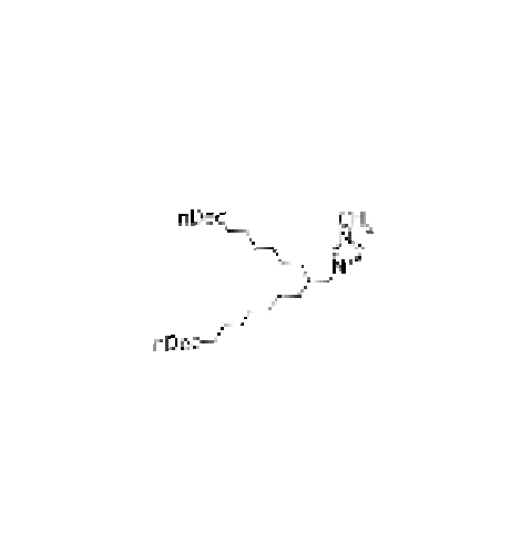 CCCCCCCCCCCCCCCCCC(CCCCCCCCCCCCCCCC)C[n+]1ccn(C)c1